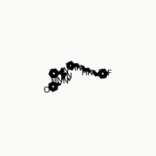 COc1ccc(CNc2ncnc3c2c(-c2ccccc2)cn3C2CCC(CNCCCNCCc3ccc(F)cc3)C2)cc1